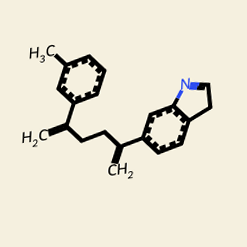 C=C(CCC(=C)c1ccc2c(c1)N=CC2)c1cccc(C)c1